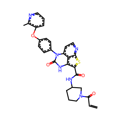 C=CC(=O)N1CCCC(NC(=O)c2sc3nccc4c3c2NC(=O)N4c2ccc(Oc3cccnc3C)cc2)C1